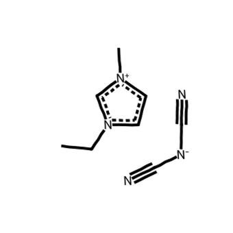 CCn1cc[n+](C)c1.N#C[N-]C#N